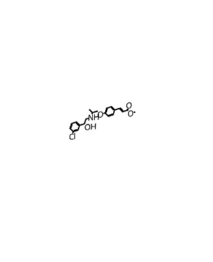 COC(=O)C=Cc1ccc(OCC(C)NCC(O)c2cccc(Cl)c2)cc1